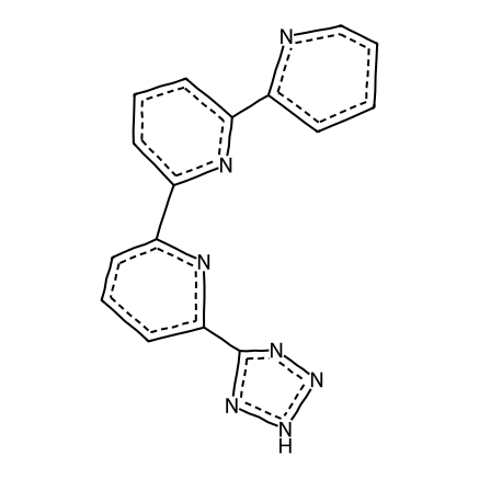 c1ccc(-c2cccc(-c3cccc(-c4nn[nH]n4)n3)n2)nc1